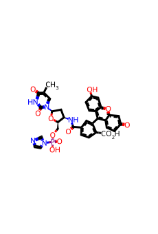 Cc1cn([C@H]2C[C@@H](NC(=O)c3ccc(C(=O)O)c(-c4c5ccc(=O)cc-5oc5cc(O)ccc45)c3)[C@@H](COP(=O)(O)n3ccnc3)O2)c(=O)[nH]c1=O